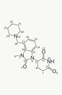 Cn1c(=O)n(C2CCC(=O)NC2=O)c2cccc(CN3CC[CH]CC3)c21